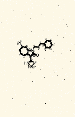 CC(C)c1cccc2c(-c3nnn[nH]3)c(=O)n(CCCc3ccccc3)c-2c1